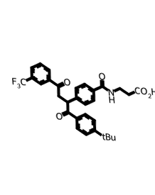 CC(C)(C)c1ccc(C(=O)C(CC(=O)c2cccc(C(F)(F)F)c2)c2ccc(C(=O)NCCC(=O)O)cc2)cc1